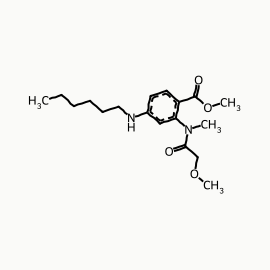 CCCCCCNc1ccc(C(=O)OC)c(N(C)C(=O)COC)c1